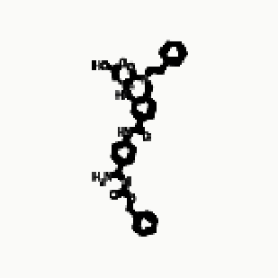 NC(=NC(=O)OCc1ccccc1)c1ccc(NC(=O)c2ccc3c(c2)N[C@H](CC(=O)O)C(=O)N(CCc2ccccc2)C3)cc1